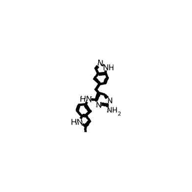 Cc1cc2cc(Nc3nc(N)ncc3Cc3ccc4[nH]ncc4c3)ccc2[nH]1